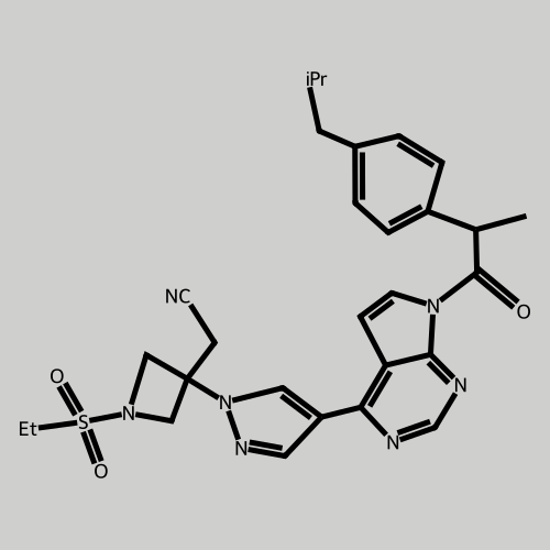 CCS(=O)(=O)N1CC(CC#N)(n2cc(-c3ncnc4c3ccn4C(=O)C(C)c3ccc(CC(C)C)cc3)cn2)C1